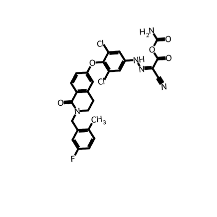 Cc1ccc(F)cc1CN1CCc2cc(Oc3c(Cl)cc(NN=C(C#N)C(=O)OC(N)=O)cc3Cl)ccc2C1=O